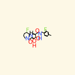 Cc1ccc(CNC(=O)c2cn3c(c(O)c2=O)C(=O)N2CCC[C@H](F)[C@H]3C2)c(F)c1